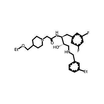 CCOCC1CCN(CC(=O)N[C@@H](Cc2cc(F)cc(F)c2)[C@@H](O)CNCc2cccc(CC)c2)CC1